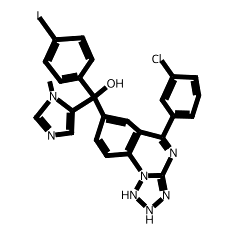 Cn1cncc1C(O)(c1ccc(I)cc1)c1ccc2c(c1)C(c1cccc(Cl)c1)=NC1=NNNN12